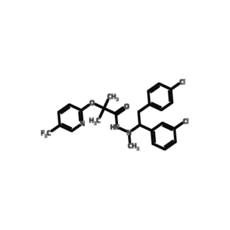 CN(NC(=O)C(C)(C)Oc1ccc(C(F)(F)F)cn1)C(Cc1ccc(Cl)cc1)c1cccc(Cl)c1